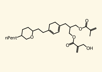 C=C(C)C(=O)OCC(COC(=O)C(=C)CO)CC1=CC=C(CCC2CCC(CCCCC)CO2)CC1